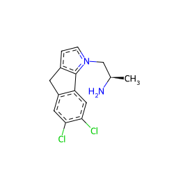 C[C@@H](N)Cn1ccc2c1-c1cc(Cl)c(Cl)cc1C2